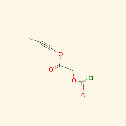 CC#COC(=O)COC(=O)Cl